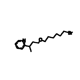 CC(CCOCCCCCCBr)c1ccccn1